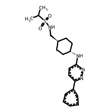 CC(C)S(=O)(=O)NC[C@H]1CC[C@H](Nc2ccc(-c3ccccc3)nn2)CC1